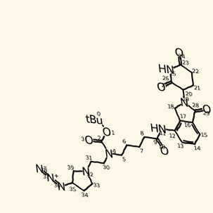 CC(C)(C)OC(=O)N(CCCCC(=O)Nc1cccc2c1CN(C1CCC(=O)NC1=O)C2=O)CCN1CCC(N=[N+]=[N-])C1